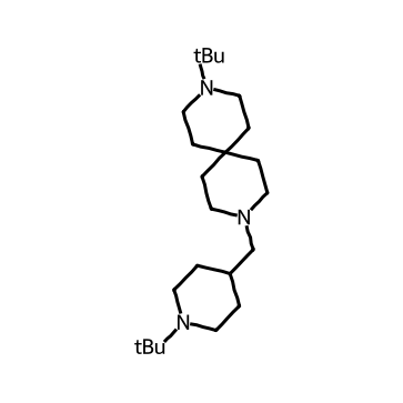 CC(C)(C)N1CCC(CN2CCC3(CC2)CCN(C(C)(C)C)CC3)CC1